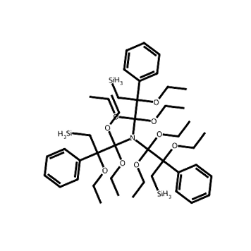 CCOC(C[SiH3])(c1ccccc1)C(OCC)(OCC)N(C(OCC)(OCC)C(C[SiH3])(OCC)c1ccccc1)C(OCC)(OCC)C(C[SiH3])(OCC)c1ccccc1